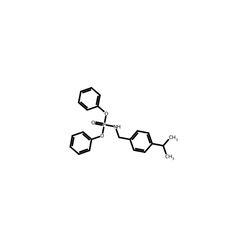 CC(C)c1ccc(CNP(=O)(Oc2ccccc2)Oc2ccccc2)cc1